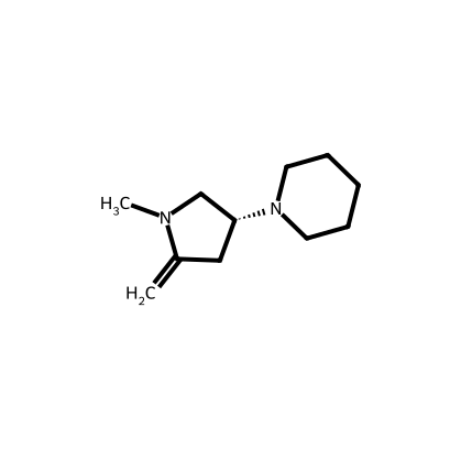 C=C1C[C@@H](N2CCCCC2)CN1C